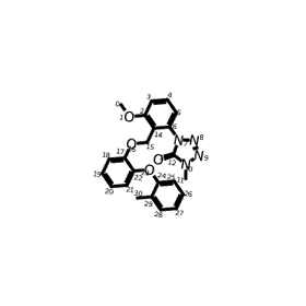 COc1cccc(-n2nnn(C)c2=O)c1COc1ccccc1Oc1ccccc1C